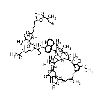 C=C(CBr)C(=O)OC(C)CCCCC(=O)N[C@H](C(=O)N[C@@H](CCCNC(N)=O)C(=O)Nc1ccc(C(=O)N(C)[C@@H](C)C(=O)O[C@H]2CC(=O)N(C)c3cc(cc(OC)c3Cl)C/C(C)=C/C=C/[C@@H](OC)[C@@]3(O)C[C@H](OC(=O)N3)[C@@H](C)[C@H](O)C2C)c2cccnc12)C(C)C